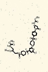 COC(CNC(=O)OC(C)(C)C)CNC(=O)[C@H]1CC[C@H](C(F)(F)c2cc(Cl)nc(N3CCN(S(=O)(=O)c4ccc(N5C[C@H](NC(=O)OC(C)(C)C)CC5=O)cc4)CC3)c2)CC1